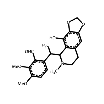 COc1ccc(C(C)C2c3c(cc4c(c3O)OCO4)CCN2C)c(C=O)c1OC